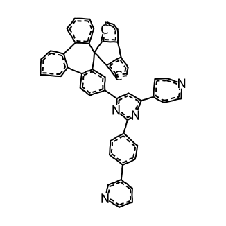 c1cncc(-c2ccc(-c3nc(-c4ccncc4)cc(-c4ccc5c(c4)C4(c6ccccc6-c6ccccc6-5)c5ccccc5-c5ccccc54)n3)cc2)c1